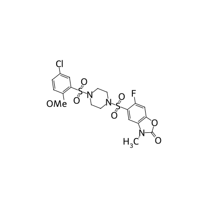 COc1ccc(Cl)cc1S(=O)(=O)N1CCN(S(=O)(=O)c2cc3c(cc2F)oc(=O)n3C)CC1